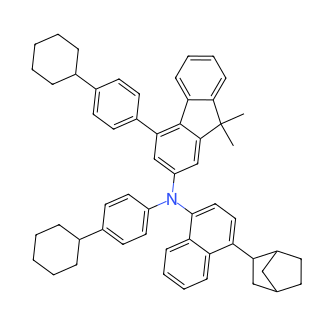 CC1(C)c2ccccc2-c2c(-c3ccc(C4CCCCC4)cc3)cc(N(c3ccc(C4CCCCC4)cc3)c3ccc(C4CC5CCC4C5)c4ccccc34)cc21